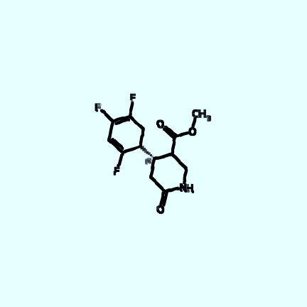 COC(=O)C1CNC(=O)C[C@@H]1C1CC(F)=C(F)C=C1F